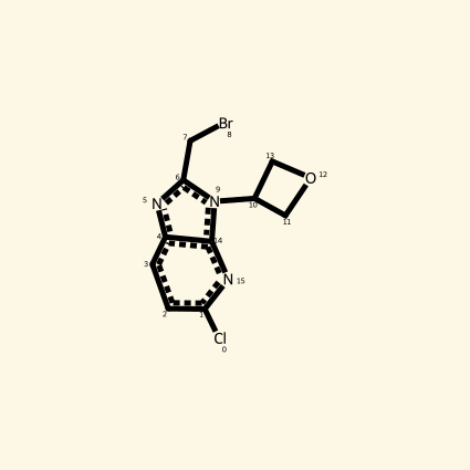 Clc1ccc2nc(CBr)n(C3COC3)c2n1